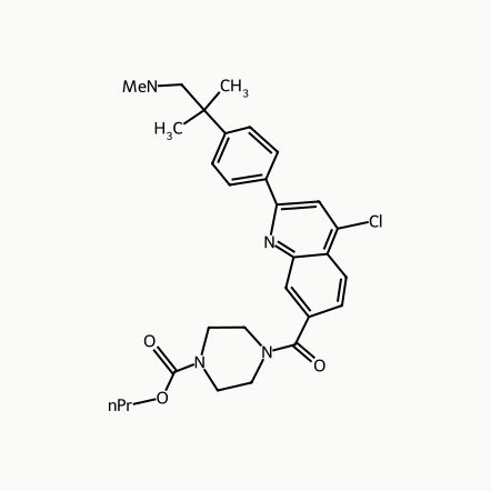 CCCOC(=O)N1CCN(C(=O)c2ccc3c(Cl)cc(-c4ccc(C(C)(C)CNC)cc4)nc3c2)CC1